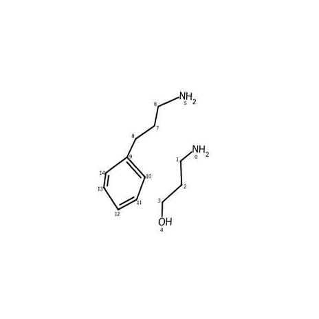 NCCCO.NCCCc1ccccc1